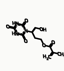 C=C(C)C(=O)OCCC(CO)n1c(=O)[nH]c(=O)[nH]c1=O